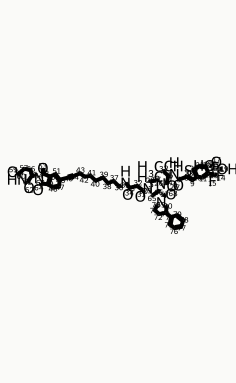 CC(C)(C)[C@H](NC(=O)c1cc2cc(C(F)(F)P(=O)(O)O)ccc2s1)C(=O)N1CCN(C(=O)CC(=O)NCCCCCCCCC#Cc2ccc3c(c2)C(=O)N(C2CCC(=O)NC2=O)C3=O)C[C@H]1C(=O)N1CCCC(c2ccccc2)C1